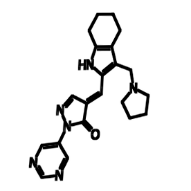 O=C1C(=Cc2[nH]c3c(c2CN2CCCC2)CCCC3)C=NN1c1cncnc1